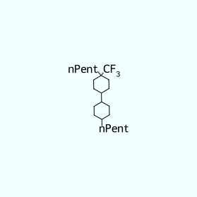 CCCCCC1CCC(C2CCC(CCCCC)(C(F)(F)F)CC2)CC1